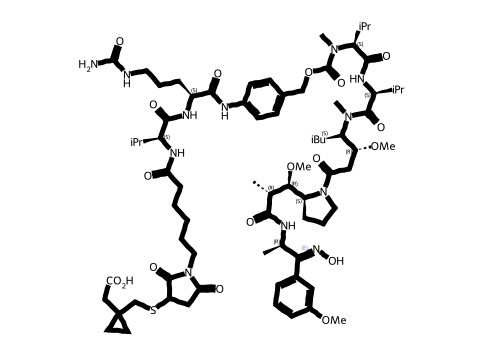 CC[C@H](C)C([C@@H](CC(=O)N1CCC[C@H]1[C@H](OC)[C@@H](C)C(=O)N[C@H](C)/C(=N/O)c1cccc(OC)c1)OC)N(C)C(=O)[C@@H](NC(=O)[C@H](C(C)C)N(C)C(=O)OCc1ccc(NC(=O)[C@H](CCCNC(N)=O)NC(=O)[C@@H](NC(=O)CCCCCN2C(=O)CC(SCC3(CC(=O)O)CC3)C2=O)C(C)C)cc1)C(C)C